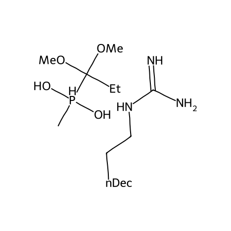 CCC(OC)(OC)[PH](C)(O)O.CCCCCCCCCCCCNC(=N)N